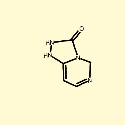 O=C1NNC2=CC=NCN12